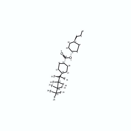 CCC[C@H]1CC[C@H](OC(=O)[C@H]2CC[C@H](C(F)(F)C(F)(F)C(F)(F)C(F)(F)F)CC2)CC1